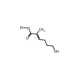 CCOC(=O)/C(C)=C/CCCO